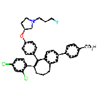 O=C(O)c1ccc(-c2ccc3c(c2)CCCC(c2ccc(Cl)cc2Cl)=C3c2ccc(OC3CCN(CCCF)C3)cc2)cc1